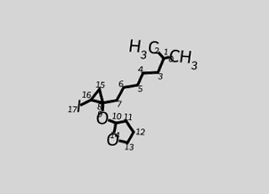 CC(C)CCCCCC1(OC2CCCO2)CC1I